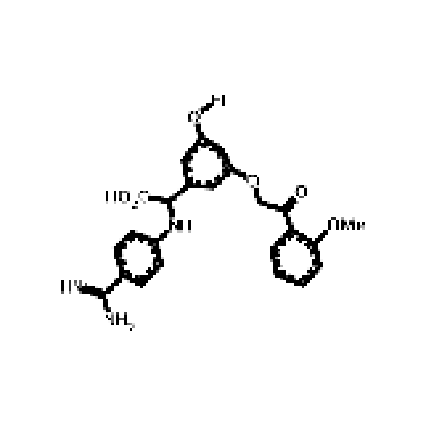 CCOc1cc(OCC(=O)c2ccccc2OC)cc(C(Nc2ccc(C(=N)N)cc2)C(=O)O)c1